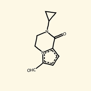 O=Cc1ccc2n1CCN(C1CC1)C2=O